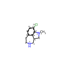 CN1CC2CNCCc3ccc(Cl)c1c32